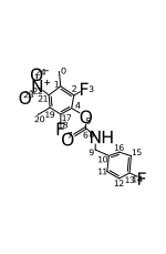 Cc1c(F)c(OC(=O)NCc2ccc(F)cc2)c(F)c(C)c1[N+](=O)[O-]